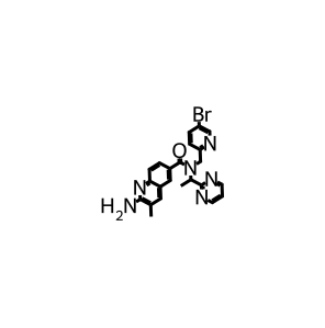 Cc1cc2cc(C(=O)N(Cc3ccc(Br)cn3)C(C)c3ncccn3)ccc2nc1N